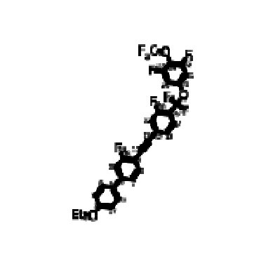 CCOc1ccc(-c2ccc(C#Cc3ccc(C(F)(F)Oc4cc(F)c(OC(F)(F)F)c(F)c4)c(F)c3)c(F)c2)cc1